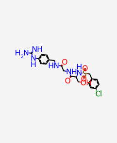 N=C(N)Nc1ccc(CNC(=O)CNC(=O)C(CO)NS(=O)(=O)Cc2ccc(Cl)cc2)cc1